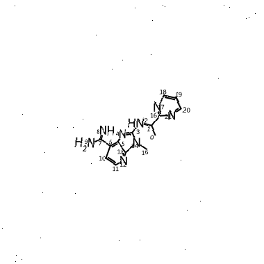 CC(Nc1nc2c(C(=N)N)ccnc2n1C)c1ncccn1